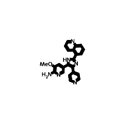 COc1cc(-c2[nH]c(-c3cccc4ncccc34)nc2-c2ccncc2)cnc1N